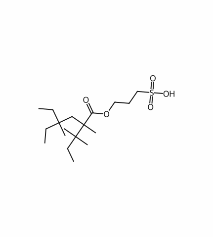 CCC(C)(CC)CC(C)(C(=O)OCCCS(=O)(=O)O)C(C)(C)CC